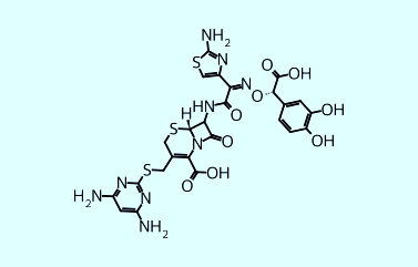 Nc1cc(N)nc(SCC2=C(C(=O)O)N3C(=O)C(NC(=O)/C(=N\O[C@H](C(=O)O)c4ccc(O)c(O)c4)c4csc(N)n4)[C@H]3SC2)n1